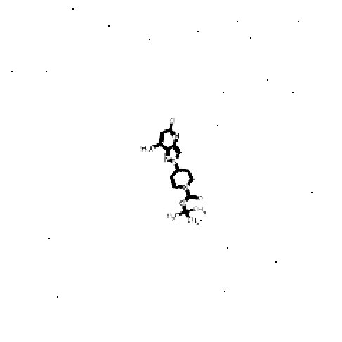 Cc1cc(Cl)nc2cn(C3CCN(C(=O)OC(C)(C)C)CC3)nc12